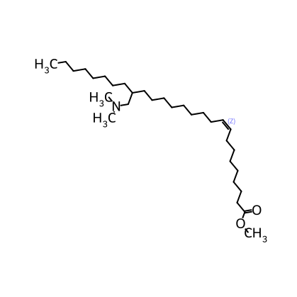 CCCCCCCCC(CCCCCCCC/C=C\CCCCCCCC(=O)OC)CN(C)C